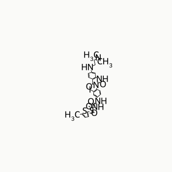 Cc1ccc(S(=O)(=O)NC(=O)Nc2ccc(-n3c(=O)[nH]c4cc(NCCN(C)C)ccc4c3=O)c(I)c2)s1